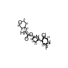 O=C(NCC1CCOCC1)Oc1nc(-c2cc(F)ncc2Cl)cs1